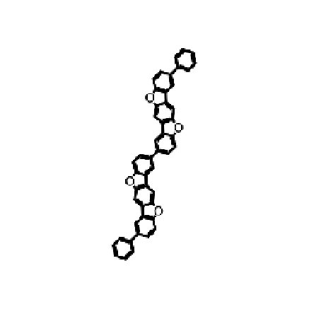 c1ccc(-c2ccc3oc4cc5c(cc4c3c2)oc2ccc(-c3ccc4oc6cc7c(cc6c4c3)oc3ccc(-c4ccccc4)cc37)cc25)cc1